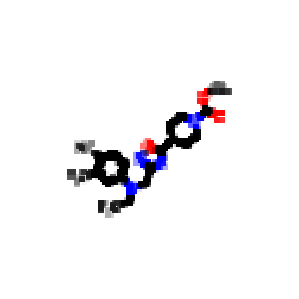 CC(C)(C)OC(=O)N1CCC(c2nc(CN(CC(F)(F)F)c3ccc(C#N)c(C(F)(F)F)c3)no2)CC1